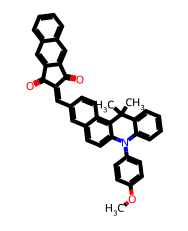 COc1ccc(N2c3ccccc3C(C)(C)c3c2ccc2cc(C=C4C(=O)c5cc6ccccc6cc5C4=O)ccc32)cc1